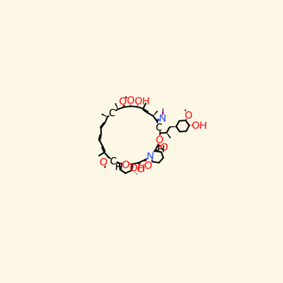 CO[C@H]1C[C@@H]2CC[C@@H](C)[C@@](O)(O2)C(=O)C(=O)N2CCCC[C@H]2C(=O)O[C@H]([C@H](C)C[C@@H]2CC[C@@H](O)[C@H](OC)C2)C/C(=N/I)[C@H](C)/C=C(\C)[C@@H](O)[C@@H](OC)C(=O)[C@H](C)C[C@H](C)/C=C/C=C/C=C/1C